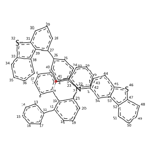 c1ccc(-c2ccccc2-c2c(-c3ccccc3)cccc2N(c2ccc(-c3cccc4sc5ccccc5c34)cc2)c2ccc3sc4ccccc4c3c2)cc1